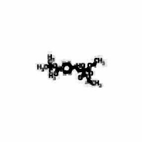 CCOC(=O)C(O)(CCC1CCN(C(=O)OC(C)(C)C)CC1)C(=O)OCC